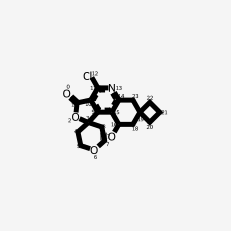 O=C1OC2(CCOCC2)c2c1c(Cl)nc1c2C(O)CC2(CCC2)C1